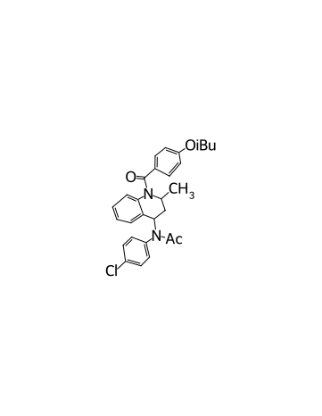 CC(=O)N(c1ccc(Cl)cc1)C1CC(C)N(C(=O)c2ccc(OCC(C)C)cc2)c2ccccc21